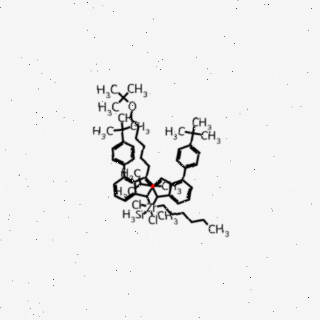 CCCCC[CH2][Zr]([CH3])([SiH3])([Cl])([Cl])([CH]1C(C(C)C)=Cc2c(-c3ccc(C(C)(C)C)cc3)cccc21)[CH]1C(C)=C(CCCCCCOC(C)(C)C)c2c(-c3ccc(C(C)(C)C)cc3)cccc21